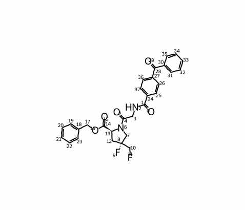 O=C(NCC(=O)N1C[C@@](F)(CF)C[C@H]1C(=O)OCc1ccccc1)c1ccc(C(=O)c2ccccc2)cc1